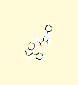 Cc1nn(-c2ccccc2)nc1C(=O)N[C@@H]1COc2cccc(-c3ccncc3)c2C1